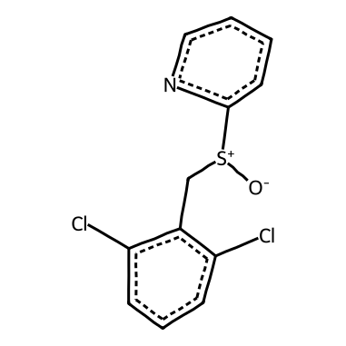 [O-][S+](Cc1c(Cl)cccc1Cl)c1ccccn1